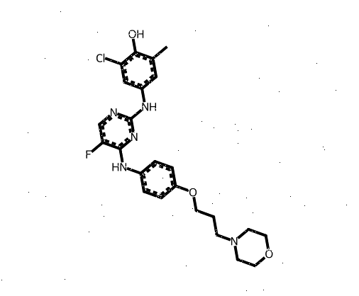 Cc1cc(Nc2ncc(F)c(Nc3ccc(OCCCN4CCOCC4)cc3)n2)cc(Cl)c1O